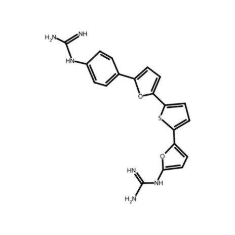 N=C(N)Nc1ccc(-c2ccc(-c3ccc(-c4ccc(NC(=N)N)o4)s3)o2)cc1